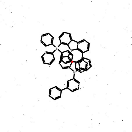 c1ccc(-c2cccc(-n3c4ccccc4c4c(-n5c6c(-c7ccccc7)cccc6c6cccc([Si](c7ccccc7)(c7ccccc7)c7ccccc7)c65)cccc43)c2)cc1